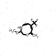 C=C1/C=C(C(F)(F)F)\C=C/NC(OC)CO1